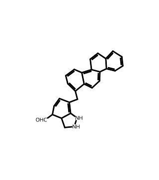 O=CC1C=CC(Cc2cccc3c2ccc2c4ccccc4ccc32)=C2NNCC21